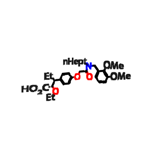 CCCCCCCN(Cc1cccc(OC)c1OC)C(=O)COc1ccc(C(CC)[C@H](OCC)C(=O)O)cc1